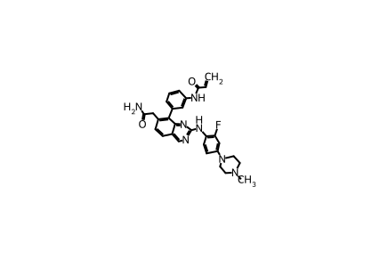 C=CC(=O)Nc1cccc(-c2c(CC(N)=O)ccc3cnc(Nc4ccc(N5CCN(C)CC5)cc4F)nc23)c1